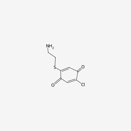 NCCSC1=CC(=O)C(Cl)=CC1=O